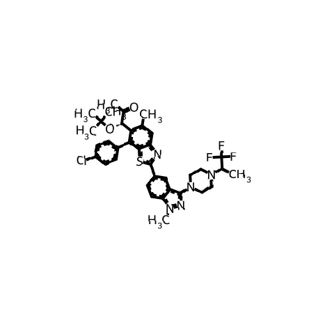 CC(=O)[C@@H](OC(C)(C)C)c1c(C)cc2nc(-c3ccc4c(c3)c(N3CCN(C(C)C(F)(F)F)CC3)nn4C)sc2c1-c1ccc(Cl)cc1